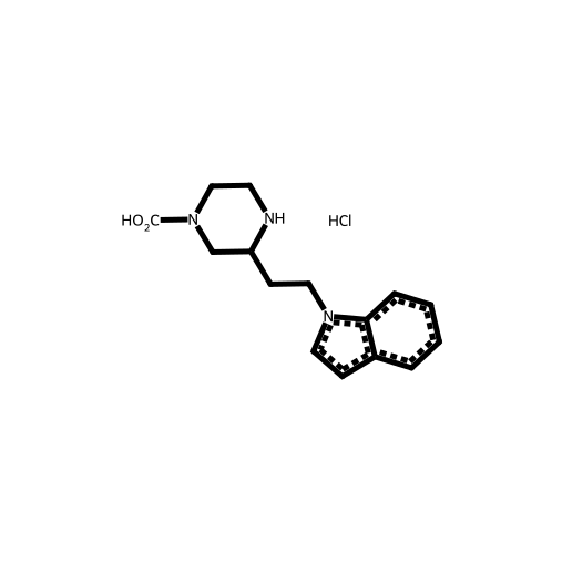 Cl.O=C(O)N1CCNC(CCn2ccc3ccccc32)C1